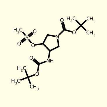 CC(C)(C)OC(=O)NC1CN(C(=O)OC(C)(C)C)CC1OS(C)(=O)=O